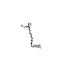 CCCCCCCCCCC=CC=CC=CC=CC=CC=C(N)CC